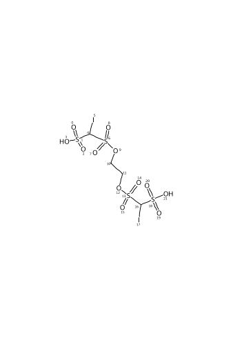 O=S(=O)(O)C(I)S(=O)(=O)OCCOS(=O)(=O)C(I)S(=O)(=O)O